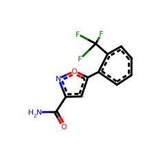 NC(=O)c1[c]c(-c2ccccc2C(F)(F)F)on1